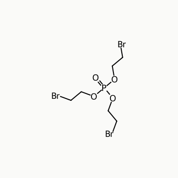 O=P(OCCBr)(OCCBr)OCCBr